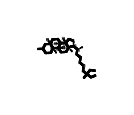 CCC(C)(CC)COCCC[C@@H](C)[C@H]1CC[C@H]2[C@@H]3CC[C@@H]4CC(C)CC[C@]4(C)[C@H]3CC[C@]12C